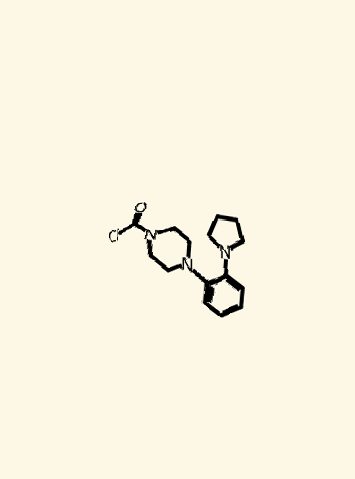 O=C(Cl)N1CCN(c2ccccc2N2CCCC2)CC1